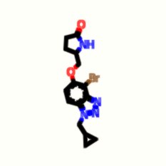 O=C1CCC(COc2ccc3c(nnn3CC3CC3)c2Br)N1